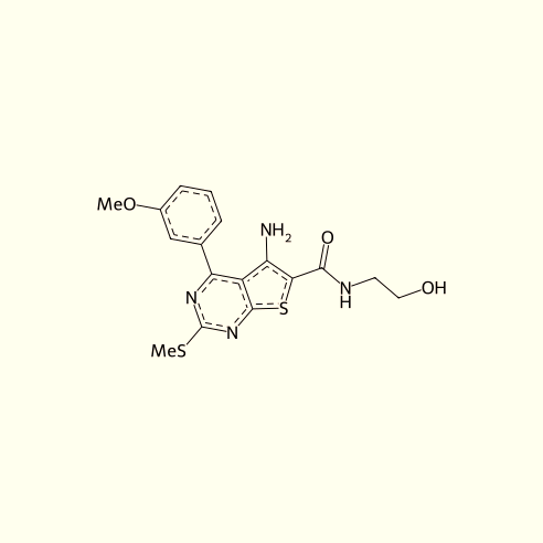 COc1cccc(-c2nc(SC)nc3sc(C(=O)NCCO)c(N)c23)c1